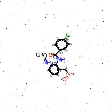 C[S+]([O-])Cc1ccccc1NC(=O)c1ccc(Cl)cc1.NC=O